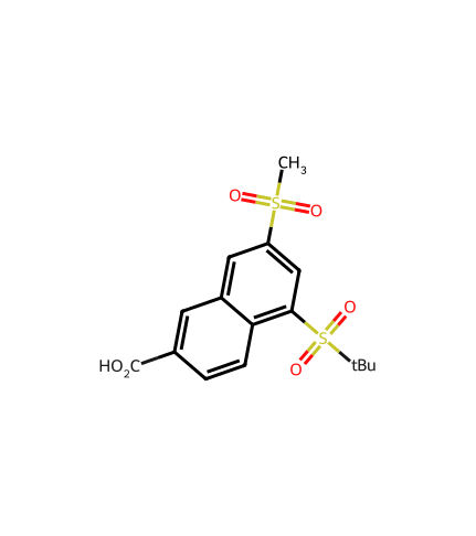 CC(C)(C)S(=O)(=O)c1cc(S(C)(=O)=O)cc2cc(C(=O)O)ccc12